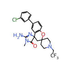 CN1C(=O)C2(CC3(CCN(CC(F)(F)F)CC3)Oc3ccc(-c4cccc(Cl)c4)cc32)N=C1N